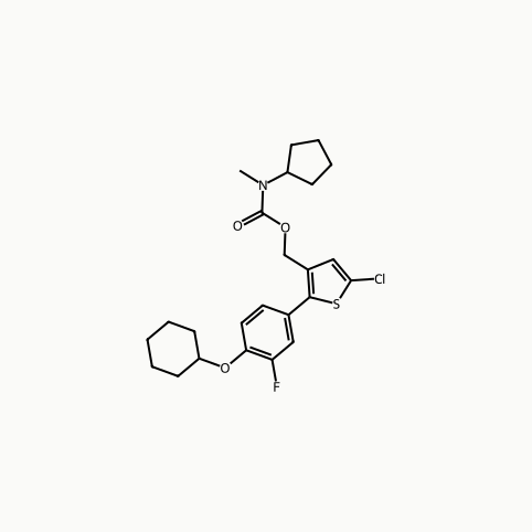 CN(C(=O)OCc1cc(Cl)sc1-c1ccc(OC2CCCCC2)c(F)c1)C1CCCC1